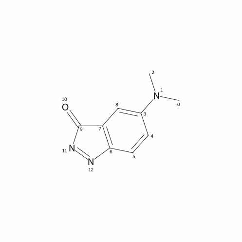 CN(C)c1ccc2c(c1)C(=O)N=N2